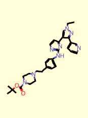 CCn1cc(-c2ccnc(Nc3ccc(CCN4CCN(C(=O)OC(C)(C)C)CC4)cc3)n2)c(-c2cccnc2)n1